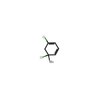 CC(C)(C)C1(Cl)[CH]C(Cl)=CC=C1